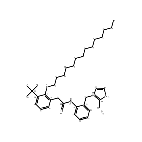 CCCCCCCCCCCCCCOc1c(CC(=O)Nc2ccccc2C[n+]2ccsc2C)cccc1C(C)(C)C.[Br-]